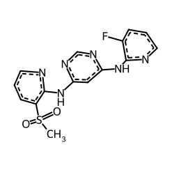 CS(=O)(=O)c1cccnc1Nc1cc(Nc2ncccc2F)ncn1